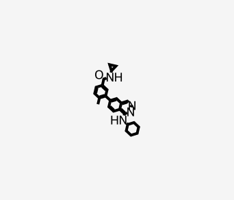 Cc1ccc(C(=O)NC2CC2)cc1-c1ccc2c(NC3CCCCC3)nncc2c1